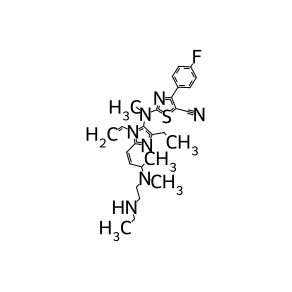 C=Cn1c(/C=C\C(C)N(C)CCNCC)nc(CC)c1N(C)c1nc(-c2ccc(F)cc2)c(C#N)s1